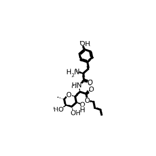 CCCCOC(=O)[C@@H](NC(=O)[C@@H](N)Cc1ccc(O)cc1)[C@H]1O[C@@H](C)[C@H](O)[C@@H](O)[C@@H]1O